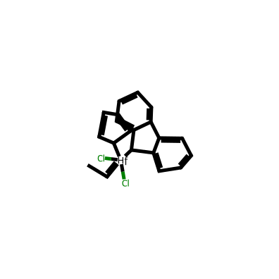 C[CH]=[Hf]([Cl])([Cl])([CH]1C=CC=C1)[CH]1c2ccccc2-c2ccccc21